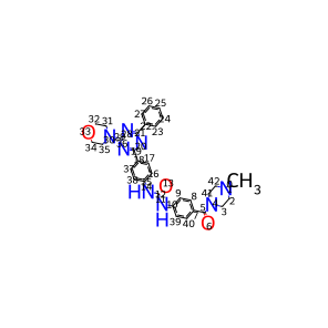 CN1CCN(C(=O)c2ccc(NC(=O)Nc3ccc(-c4nc(-c5ccccc5)nc(N5CCOCC5)n4)cc3)cc2)CC1